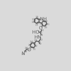 CC(CNCC(O)COc1cccc2[nH]c3ccccc3c12)Cc1ccc(OCC#N)cc1